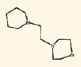 C1CCN(CCN2CC[N]CC2)CC1